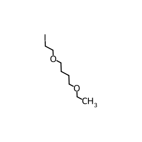 CCOCCCCOCCI